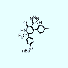 CCCCOc1ccc([C@@]2(C(F)(F)F)CC(c3ccc(C)cc3)=C(c3nnn[nH]3)C(=O)N2)cc1